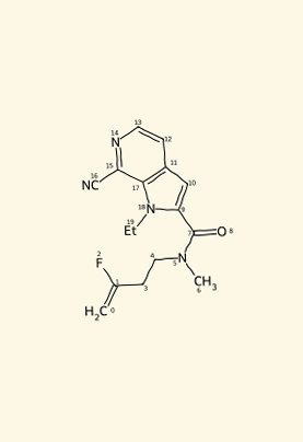 C=C(F)CCN(C)C(=O)c1cc2ccnc(C#N)c2n1CC